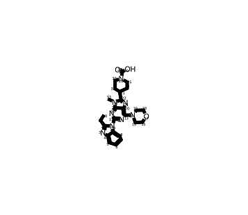 CCc1nc2ccccc2n1-c1nc(N2CCOCC2)c2nc(C3CCN(C(=O)O)CC3)n(C)c2n1